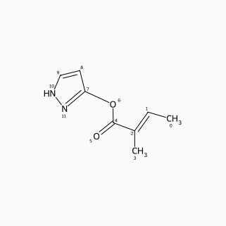 CC=C(C)C(=O)Oc1cc[nH]n1